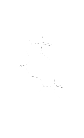 COP(=O)(O)C(O)CO[PH](=O)OCC(O)P(=O)(O)OC